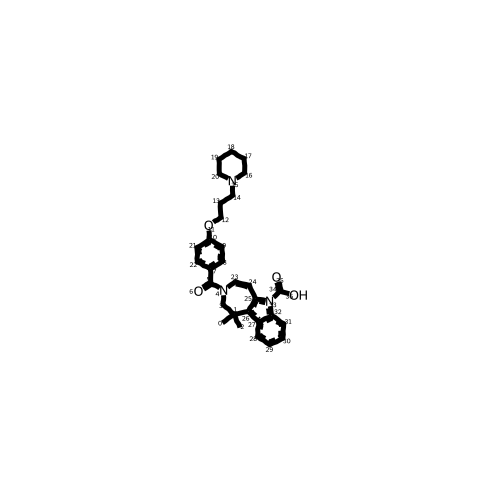 CC1(C)CN(C(=O)c2ccc(OCCCN3CCCCC3)cc2)C=Cc2c1c1ccccc1n2C(=O)O